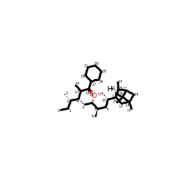 CC[C@H](C)[C@@H](CC[C@H](C)C[C@H](C)C1CC2(C)CC([C@@H]1C)C2(C)C)C(C)C(=O)C1CCCCC1